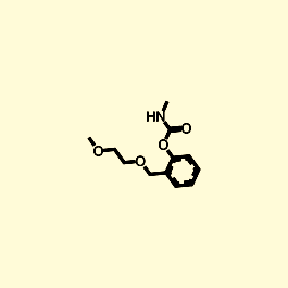 CNC(=O)Oc1ccccc1COCCOC